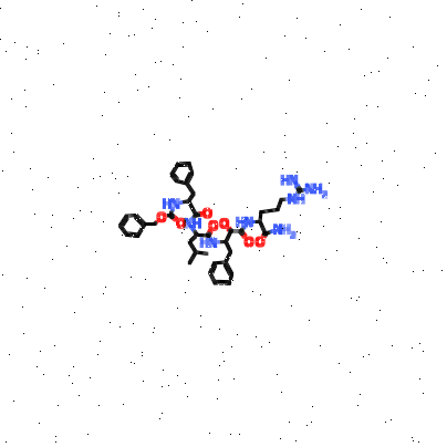 CC(C)CC(NC(=O)C(Cc1ccccc1)NC(=O)OCc1ccccc1)C(=O)NC(Cc1ccccc1)C(=O)C(=O)NC(CCCNC(=N)N)C(N)=O